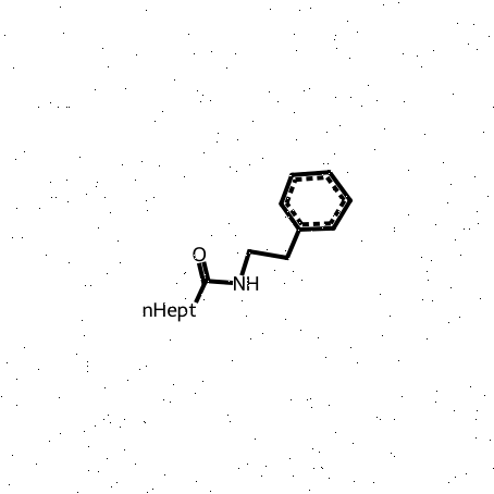 [CH2]CCCCCCC(=O)NCCc1ccccc1